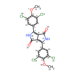 COc1c(Cl)cc(C2=C3C(=O)NC(c4cc(Cl)c(OC)c(Cl)c4)=C3C(=O)N2)cc1Cl